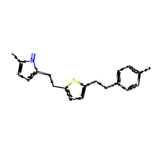 Cc1ccc(CCc2ccc(CCc3ccc(C)[nH]3)s2)cc1